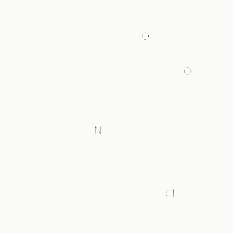 COC(=O)c1c2ccccc2nc2cc(Cl)ccc12